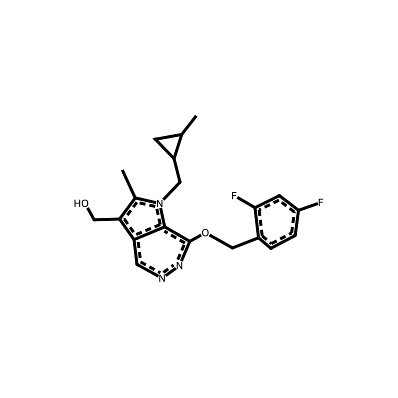 Cc1c(CO)c2cnnc(OCc3ccc(F)cc3F)c2n1CC1CC1C